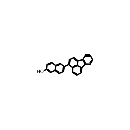 Oc1ccc2cc(-c3ccc4c5c(cccc35)-c3ccc#cc3-4)ccc2c1